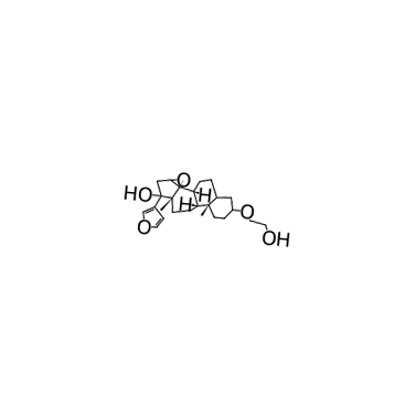 C[C@]12CCC(OCCO)CC1CC[C@@H]1[C@H]2CC[C@]2(C)C(O)(c3ccoc3)CC3O[C@]312